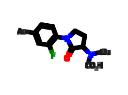 CC(=O)c1ccc(N2CCC(N(C(=O)O)C(C)(C)C)C2=O)c(F)c1